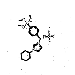 CO[Si](OC)(OC)c1ccc(Cn2cc[n+](C3CCCCC3)c2)cc1.F[B-](F)(F)F